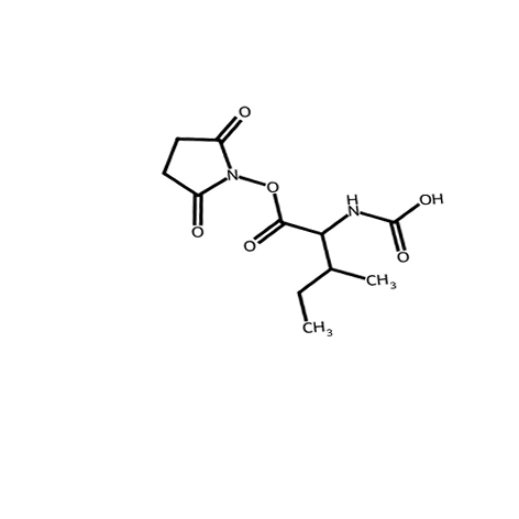 CCC(C)C(NC(=O)O)C(=O)ON1C(=O)CCC1=O